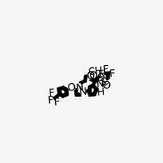 COCCCN1C(Oc2ccc(C(F)(F)F)cc2)C=CN1c1cccc(C2(NS(=O)(=O)CC(F)(F)F)COC2)c1